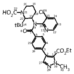 CCOC(=O)c1c(-c2ccc(C(=O)N(c3ncccc3Cl)[C@@H]3CCCN(C(=O)O)C3C(C)(C)C)cc2)cnn1C